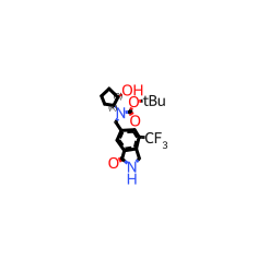 CC(C)(C)OC(=O)N(Cc1cc2c(c(C(F)(F)F)c1)CNC2=O)[C@@H]1CCC[C@H]1O